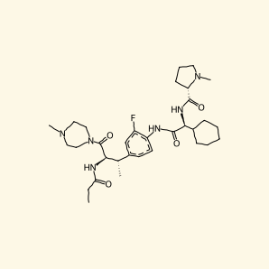 CCC(=O)N[C@@H](C(=O)N1CCN(C)CC1)[C@@H](C)c1ccc(NC(=O)[C@@H](NC(=O)[C@@H]2CCCN2C)C2CCCCC2)c(F)c1